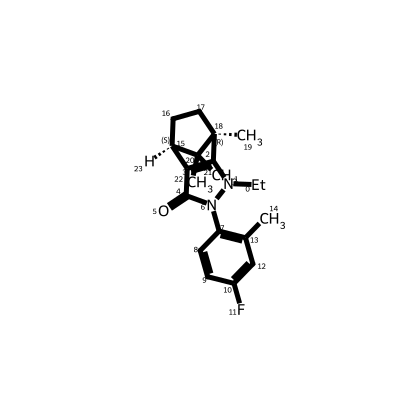 CCn1c2c(c(=O)n1-c1ccc(F)cc1C)[C@H]1CC[C@]2(C)C1(C)C